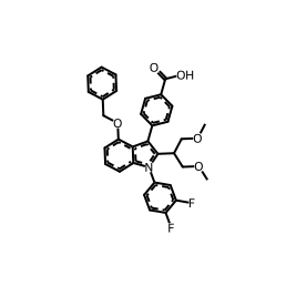 COCC(COC)c1c(-c2ccc(C(=O)O)cc2)c2c(OCc3ccccc3)cccc2n1-c1ccc(F)c(F)c1